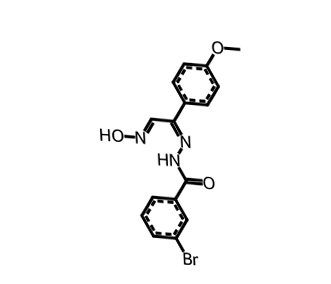 COc1ccc(C(/C=N/O)=N/NC(=O)c2cccc(Br)c2)cc1